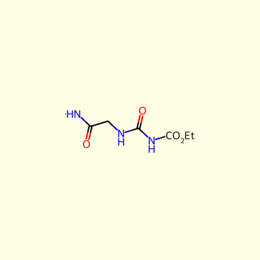 CCOC(=O)NC(=O)NCC([NH])=O